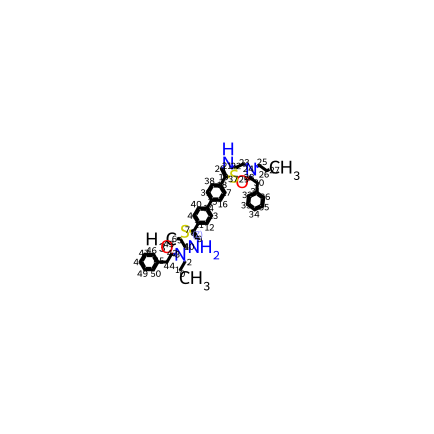 CCCN(CC(C)S/C(=C\N)c1ccc(-c2ccc(C3=CNC(CN(CCC)C(=O)Cc4ccccc4)S3)cc2)cc1)C(=O)Cc1ccccc1